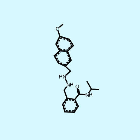 COc1ccc2cc(CNNCc3ccccc3C(=O)NC(C)C)ccc2c1